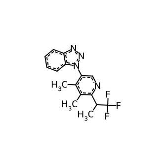 Cc1c(-n2nnc3ccccc32)cnc(C(C)C(F)(F)F)c1C